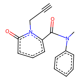 C#CCn1c(C(=O)N(C)c2ccccc2)cccc1=O